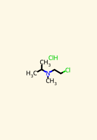 CC(C)N(C)CCCl.Cl